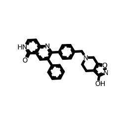 O=c1[nH]ccc2nc(-c3ccc(CN4CCc5c(O)noc5C4)cc3)c(-c3ccccc3)cc12